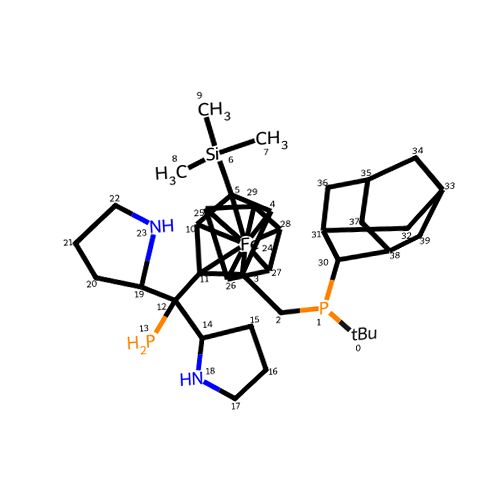 CC(C)(C)P(C[C]12[CH]3[C]4([Si](C)(C)C)[CH]5[C]1(C(P)(C1CCCN1)C1CCCN1)[Fe]35241678[CH]2[CH]1[CH]6[CH]7[CH]28)C1C2CC3CC(C2)CC1C3